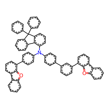 c1ccc(C2(c3ccccc3)c3ccccc3-c3c(N(c4ccc(-c5cccc(-c6cccc7c6oc6ccccc67)c5)cc4)c4ccc(-c5cccc6c5oc5ccccc56)cc4)cccc32)cc1